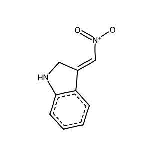 O=[N+]([O-])C=C1CNc2ccccc21